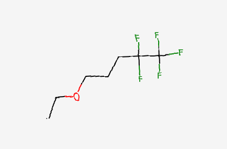 [CH2]COCCCC(F)(F)C(F)(F)F